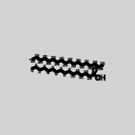 CCCCCCCCCCCCCCCC(=O)O.[CH2]CCCCCCCCCCCCCCCCC